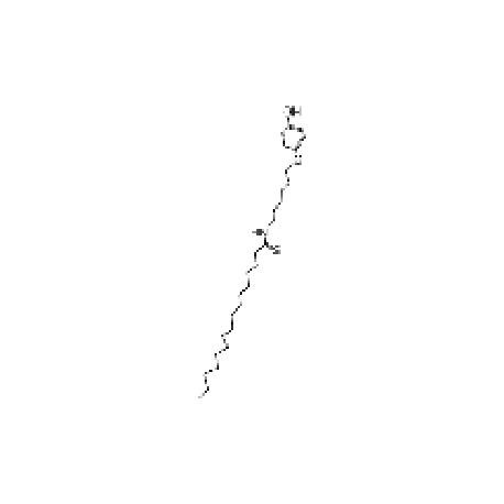 CCCCCCCCCCCCCCCC(=S)NCCCCCCOc1ccc(O)cc1